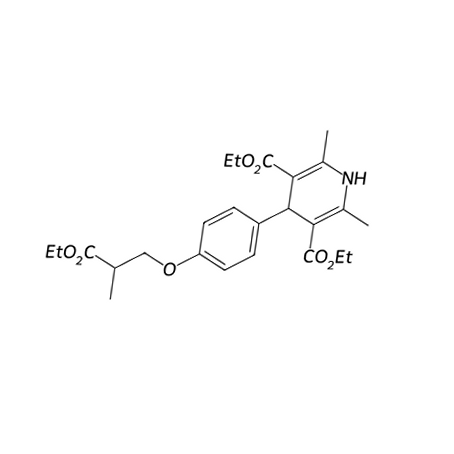 CCOC(=O)C1=C(C)NC(C)=C(C(=O)OCC)C1c1ccc(OCC(C)C(=O)OCC)cc1